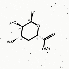 COC(=O)[C@@H]1C[C@H](OC(C)=O)[C@@H](OC(C)=O)[C@@H](Br)O1